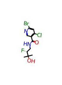 CC(C)(O)[C@H](F)CNC(=O)c1cnc(Br)cc1Cl